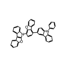 c1ccc(-n2c3ccccc3c3cc(-c4ccc(-n5c6ccccc6c6c7ccccc7oc65)c5oc6ccccc6c45)ccc32)cc1